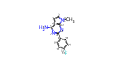 Cn1ccc2c(N)nc(-c3ccc(F)cc3)nc21